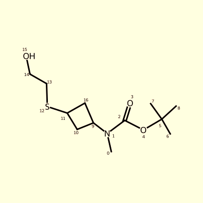 CN(C(=O)OC(C)(C)C)C1CC(SCCO)C1